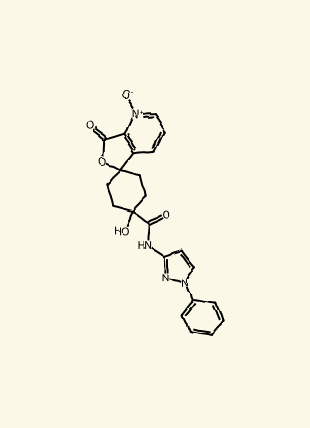 O=C1OC2(CCC(O)(C(=O)Nc3ccn(-c4ccccc4)n3)CC2)c2ccc[n+]([O-])c21